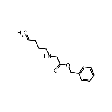 C=CCCCNCC(=O)OCc1ccccc1